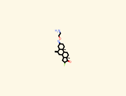 C=C1CC2C(CC[C@]3(C)C(=O)C(F)CC23)[C@@]2(C)CCC(=NOCCN)CC12